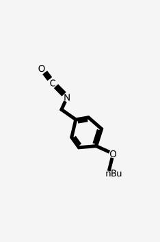 CCCCOc1ccc(CN=C=O)cc1